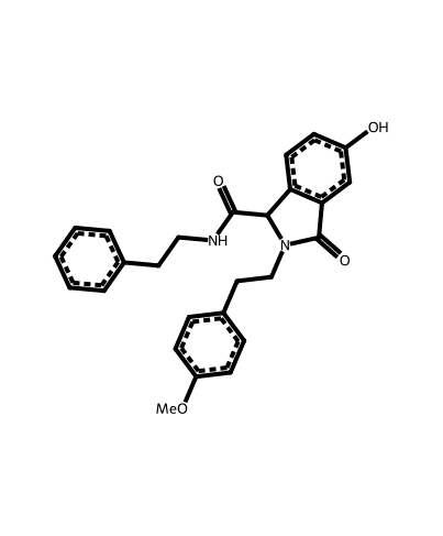 COc1ccc(CCN2C(=O)c3cc(O)ccc3C2C(=O)NCCc2ccccc2)cc1